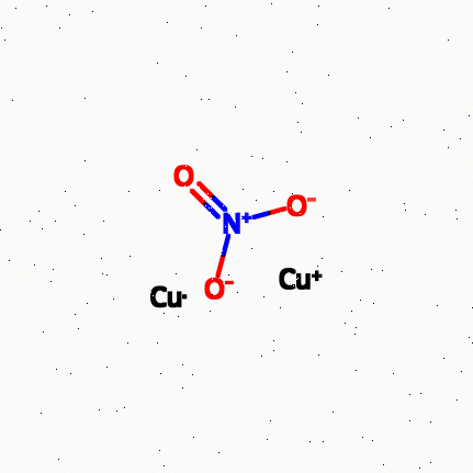 O=[N+]([O-])[O-].[Cu+].[Cu]